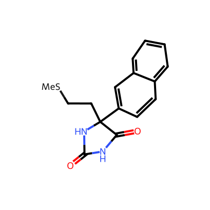 CSCCC1(c2ccc3ccccc3c2)NC(=O)NC1=O